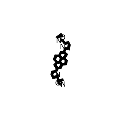 c1cc(-c2cc3ccc4cc(-c5cccc(-c6ncco6)n5)cc5ccc(c2)c3c45)nc(-c2cnco2)c1